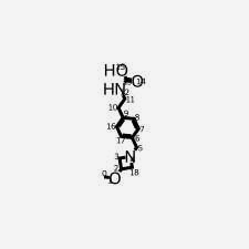 COC1CN(Cc2ccc(CCNC(=O)O)cc2)C1